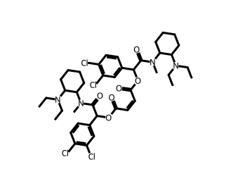 CCN(CC)C1CCCCC1N(C)C(=O)C(OC(=O)/C=C\C(=O)OC(C(=O)N(C)C1CCCCC1N(CC)CC)c1ccc(Cl)c(Cl)c1)c1ccc(Cl)c(Cl)c1